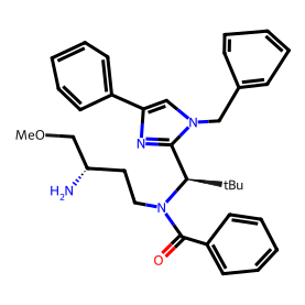 COC[C@@H](N)CCN(C(=O)c1ccccc1)[C@@H](c1nc(-c2ccccc2)cn1Cc1ccccc1)C(C)(C)C